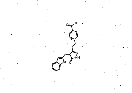 O=C1NN=C(CCc2ccc(C(=O)O)cc2)C1=Cc1cc2ccccc2[nH]1